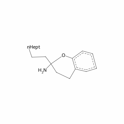 CCCCCCCCCC1(N)CCc2ccccc2O1